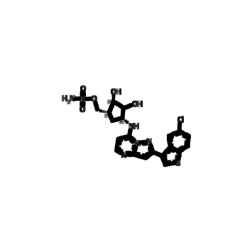 NS(=O)(=O)OC[C@H]1C[C@@H](Nc2ccnc3cc(-c4csc5ccc(Cl)cc45)nn23)C(O)[C@@H]1O